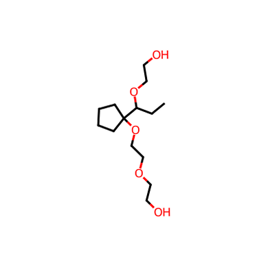 CCC(OCCO)C1(OCCOCCO)CCCC1